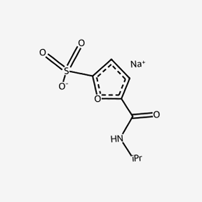 CC(C)NC(=O)c1ccc(S(=O)(=O)[O-])o1.[Na+]